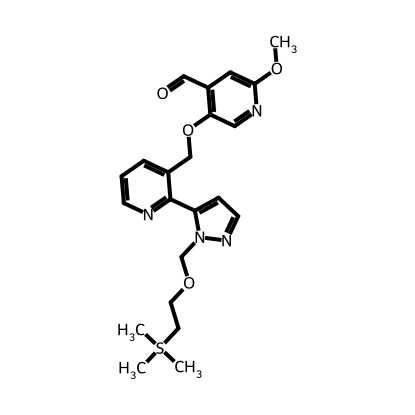 COc1cc(C=O)c(OCc2cccnc2-c2ccnn2COCCS(C)(C)C)cn1